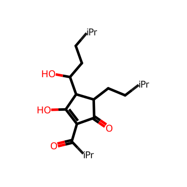 CC(C)CCC(O)C1C(O)=C(C(=O)C(C)C)C(=O)C1CCC(C)C